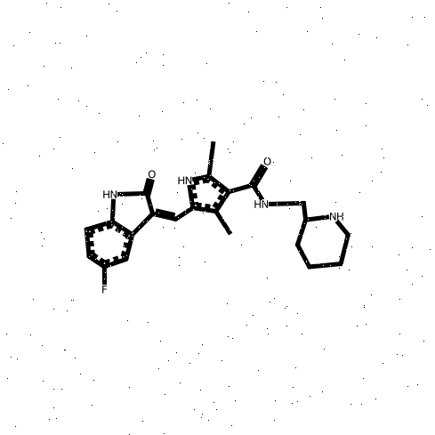 Cc1[nH]c(/C=C2\C(=O)Nc3ccc(F)cc32)c(C)c1C(=O)NCC1CCCCN1